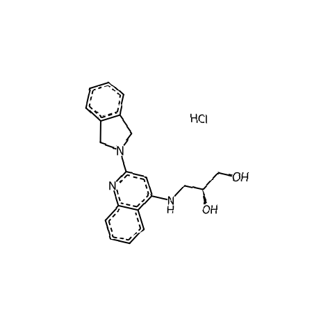 Cl.OC[C@@H](O)CNc1cc(N2Cc3ccccc3C2)nc2ccccc12